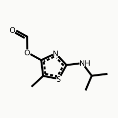 Cc1sc(NC(C)C)nc1OC=O